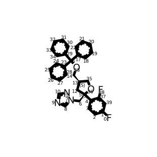 Fc1ccc([C@]2(Cn3cncn3)C[C@@H](COC(c3ccccc3)(c3ccccc3)c3ccccc3)CO2)c(F)c1